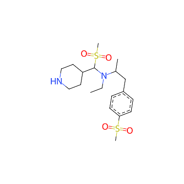 CCN(C(C)Cc1ccc(S(C)(=O)=O)cc1)C(C1CCNCC1)S(C)(=O)=O